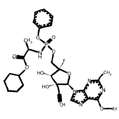 C#C[C@]1(O)[C@H](n2cnc3c(OCC)nc(C)nc32)O[C@](F)(COP(=O)(NC(C)C(=O)OC2CCCCC2)Oc2ccccc2)[C@H]1O